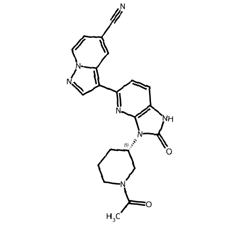 CC(=O)N1CCC[C@H](n2c(=O)[nH]c3ccc(-c4cnn5ccc(C#N)cc45)nc32)C1